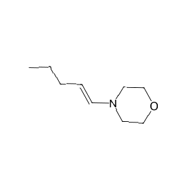 CCCC=CN1CCOCC1